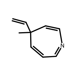 C=CC1(C)C=CC=NC=C1